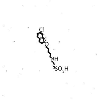 O=S(=O)(O)SCCNCCCCCOc1ccc2ccc(Cl)cc2n1